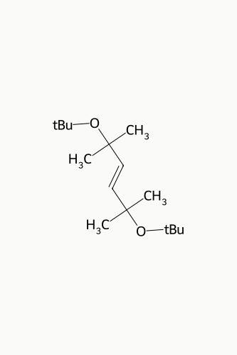 CC(C)(C)OC(C)(C)C=CC(C)(C)OC(C)(C)C